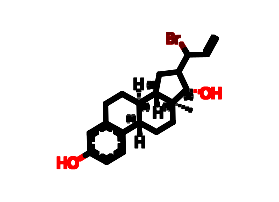 C=CC(Br)C1C[C@H]2[C@@H]3CCc4cc(O)ccc4[C@H]3CC[C@]2(C)[C@H]1O